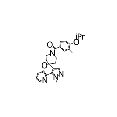 Cc1cc(C(=O)N2CCC3(CC2)Oc2cccnc2-c2c3cnn2C)ccc1OC(C)C